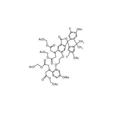 COc1ccc(N(CC(=O)OCOC(C)=O)CC(=O)OCOC(C)=O)c(OCCOc2cc3c(cc2N(CC(=O)OCOC(C)=O)CC(=O)OCOC(C)=O)C(=O)OC32c3cc(F)c(OC(C)=O)cc3C(C)(C)c3cc(OC(C)=O)c(F)cc32)c1